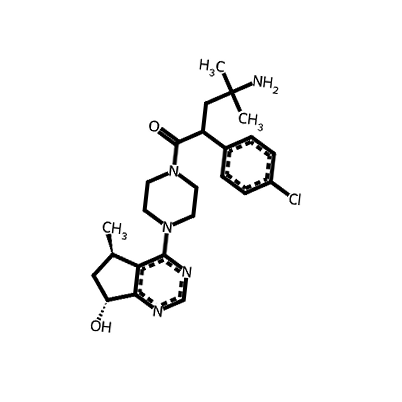 C[C@@H]1C[C@@H](O)c2ncnc(N3CCN(C(=O)C(CC(C)(C)N)c4ccc(Cl)cc4)CC3)c21